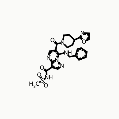 CS(=O)(=O)NC(=O)c1cnn2c(NCc3ccccc3)c(C(=O)N3CCC(c4ncco4)CC3)cnc12